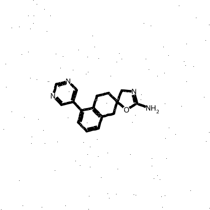 NC1=NCC2(CCc3c(cccc3-c3cncnc3)C2)O1